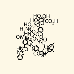 COCCN(CCOC12CC3(C)CC(C)(CC(Cn4ncc(-c5ccc(N6CCc7c(OC)ccc(C(=O)Nc8nc9ccccc9s8)c7C6)nc5C(=O)O)c4C)(C3)C1)C2)C(=O)OCc1ccc(O[C@@H]2O[C@H](C(=O)O)[C@@H](O)[C@H](O)[C@H]2O)cc1OCCCNC(=O)[C@@H](N)CS(=O)(=O)O